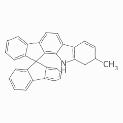 CC1C=Cc2c([nH]c3c4c(ccc23)-c2ccccc2C42c3ccccc3-c3ccccc32)C1